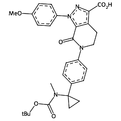 COc1ccc(-n2nc(C(=O)O)c3c2C(=O)N(c2ccc(C4(N(C)C(=O)OC(C)(C)C)CC4)cc2)CC3)cc1